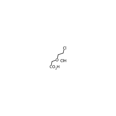 Cl.O=C(O)COCCCl